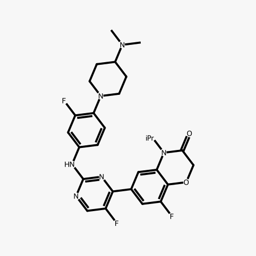 CC(C)N1C(=O)COc2c(F)cc(-c3nc(Nc4ccc(N5CCC(N(C)C)CC5)c(F)c4)ncc3F)cc21